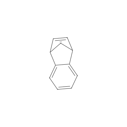 [C]1C2C=CC1c1ccccc12